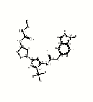 CCNC(=O)O[C@@H]1CC[C@H](c2cc(NC(=O)Cc3ccc4c(cnn4C)c3)n(C(C)(C)C)n2)C1